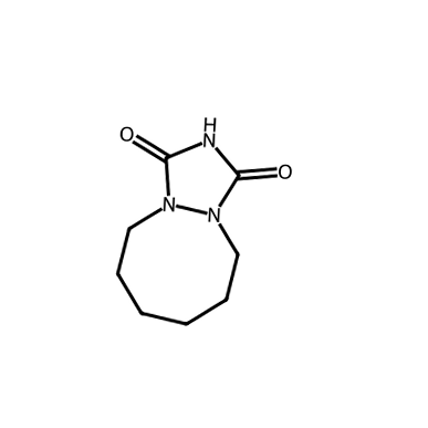 O=c1[nH]c(=O)n2n1CCCCCC2